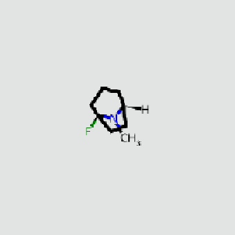 CN1[C@@H]2CCC[C@@]1(F)CC2